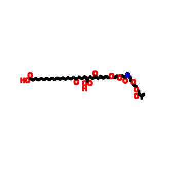 CC(C)C(=O)COCCOCCN(C)C(=O)COCCOCCCCCC(=O)CC[C@H](CCCC(=O)CCCCCCCCCCCCCCCCC(=O)O)C(=O)O